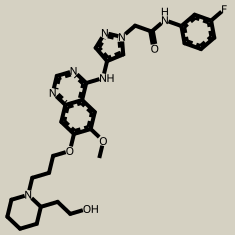 COc1cc2c(Nc3cnn(CC(=O)Nc4cccc(F)c4)c3)ncnc2cc1OCCCN1CCCCC1CCO